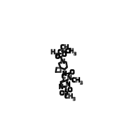 CN1C(=O)N(C2CCN(C(=O)OC(C)(C)C)CC23CCC3)Cc2cnc(S(C)(=O)=O)nc21